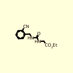 CCOC(=O)CNC(=O)NCc1ccccc1C#N